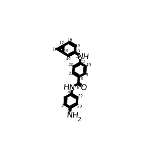 Nc1ccc(NC(=O)c2ccc(NC3=CC4C=C4C=C3)cc2)cc1